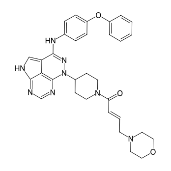 O=C(/C=C/CN1CCOCC1)N1CCC(N2N=C(Nc3ccc(Oc4ccccc4)cc3)c3c[nH]c4ncnc2c34)CC1